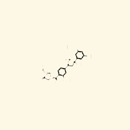 Cc1cc(Cl)cc(C2(C)CC(c3ccc(C(=O)N4CC(=O)N(CC(F)(F)F)C4)c(C)c3)=NO2)c1